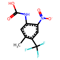 Cc1cc(NC(=O)O)c([N+](=O)[O-])cc1C(F)(F)F